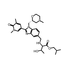 Cc1cc(-c2nc3cc(CNC(C(=O)OCC(C)C)C(C)O)ccc3n2C[C@H]2CN(C)CCO2)cn(C)c1=O